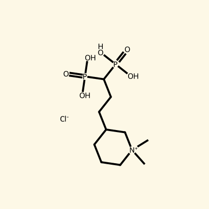 C[N+]1(C)CCCC(CCC(P(=O)(O)O)P(=O)(O)O)C1.[Cl-]